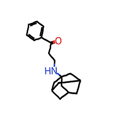 O=C(CCNC12CC3CC(CC(C3)C1)C2)c1ccccc1